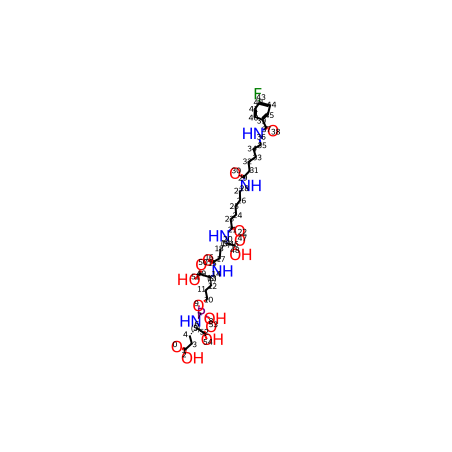 O=C(O)CC[C@H](NP(O)OCCC[C@H](NC(=O)CC[C@H](NC(=O)CCCCCNC(=O)CCCCCNC(=O)c1ccc(F)cc1)C(=O)O)C(=O)O)C(=O)O